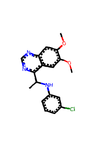 COc1cc2ncnc(C(C)Nc3cccc(Cl)c3)c2cc1OC